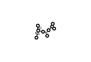 c1ccc(-c2nc3cc4c(oc5ccccc54)c(-c4ccc(N(c5ccccc5)c5ccc(-c6cc7ccccc7c7ccccc67)cc5)cc4)c3s2)cc1